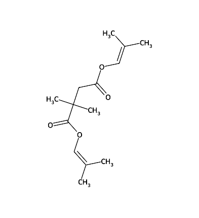 CC(C)=COC(=O)CC(C)(C)C(=O)OC=C(C)C